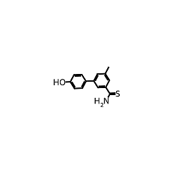 Cc1cc(C(N)=S)cc(-c2ccc(O)cc2)c1